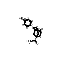 NC(=O)[C@]12CC3CC4(C1)[C@H](c1ccc(F)cc1)[C@@]4(C3)C2